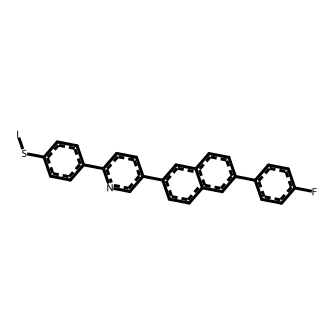 Fc1ccc(-c2ccc3cc(-c4ccc(-c5ccc(SI)cc5)nc4)ccc3c2)cc1